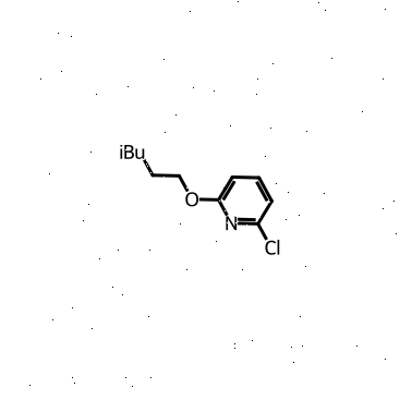 CCC(C)CCOc1cccc(Cl)n1